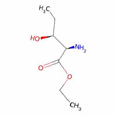 CCOC(=O)[C@H](N)[C@@H](O)CC